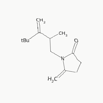 C=C1CCC(=O)N1CC(C)C(=C)C(C)(C)C